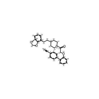 N#Cc1ccc(-c2ccccc2OCC(=O)N2CCC(CCc3cccc4c3OCO4)CC2)cc1